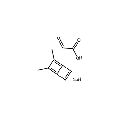 Cc1c2ccc-2c1C.O=CC(=O)O.[NaH]